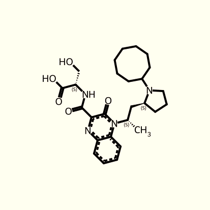 C[C@@H](C[C@@H]1CCCN1C1CCCCCCC1)n1c(=O)c(C(=O)N[C@@H](CO)C(=O)O)nc2ccccc21